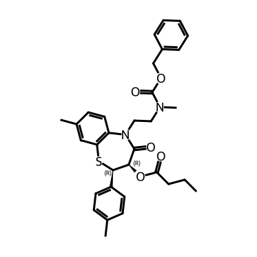 CCCC(=O)O[C@@H]1C(=O)N(CCN(C)C(=O)OCc2ccccc2)c2ccc(C)cc2S[C@@H]1c1ccc(C)cc1